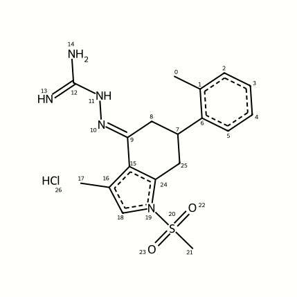 Cc1ccccc1C1CC(=NNC(=N)N)c2c(C)cn(S(C)(=O)=O)c2C1.Cl